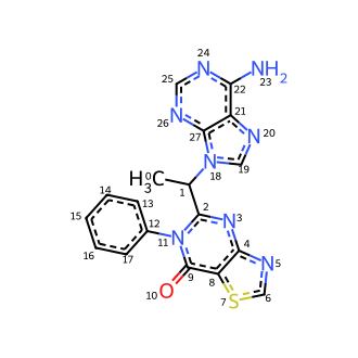 CC(c1nc2ncsc2c(=O)n1-c1ccccc1)n1cnc2c(N)ncnc21